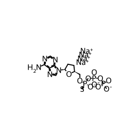 Nc1ncnc2c1ncn2[C@H]1CC[C@@H](COP([O-])(=S)OP(=O)([O-])OP(=O)([O-])[O-])O1.[Na+].[Na+].[Na+].[Na+]